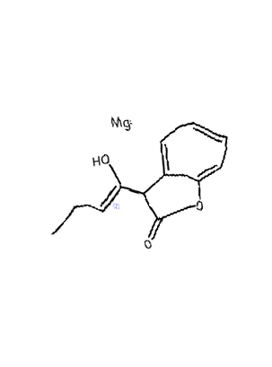 CC/C=C(\O)C1C(=O)Oc2ccccc21.[Mg]